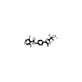 Cc1oc(C(F)(F)C(F)(F)F)nc1-c1ccc(NC(=O)c2c(F)cncc2F)cc1